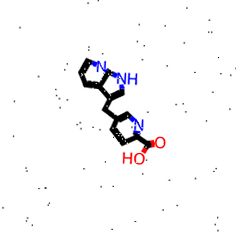 O=C(O)c1ccc(Cc2c[nH]c3ncccc23)cn1